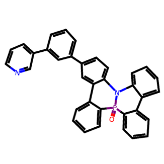 O=P12c3ccccc3-c3ccccc3N1c1ccc(-c3cccc(-c4cccnc4)c3)cc1-c1ccccc12